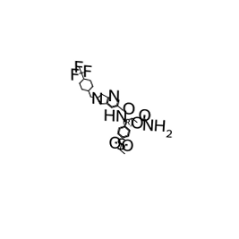 CCS(=O)(=O)c1ccc([C@H](COC(N)=O)NC(=O)c2cnc3c(c2)CN(CC2CCC(C(F)(F)F)CC2)C3)cc1